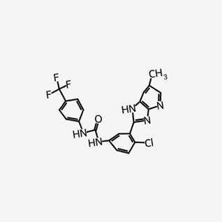 Cc1cnc2nc(-c3cc(NC(=O)Nc4ccc(C(F)(F)F)cc4)ccc3Cl)[nH]c2c1